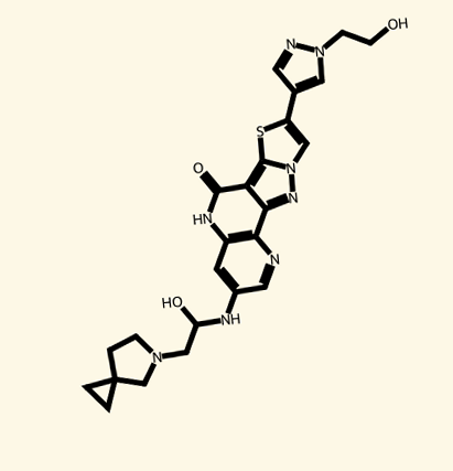 O=c1[nH]c2cc(NC(O)CN3CCC4(CC4)C3)cnc2c2nn3cc(-c4cnn(CCO)c4)sc3c12